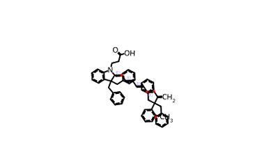 C=C(/C=C/C=C/C=C/C=C1/N(CCC(=O)O)c2ccccc2C1(Cc1ccccc1)Cc1ccccc1)C(Cc1ccccc1)(Cc1ccccc1)c1ccccc1C